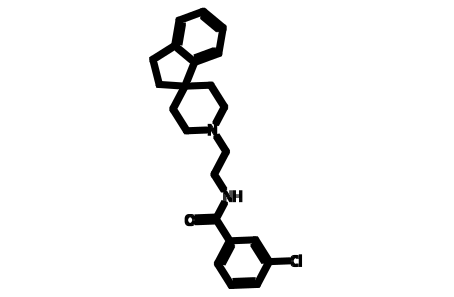 O=C(NCCN1CCC2(CCc3ccccc32)CC1)c1cccc(Cl)c1